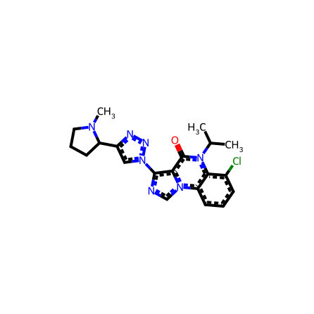 CC(C)n1c(=O)c2c(-n3cc(C4CCCN4C)nn3)ncn2c2cccc(Cl)c21